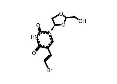 O=c1[nH]c(=O)n([C@H]2CO[C@@H](CO)O2)cc1/C=C/Br